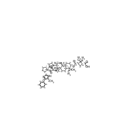 Cc1[nH]c([C@@H]2CCCN2C(=O)[C@]23CCC[C@@H]2[C@H]2CCC4[C@@]5(C)CC[C@H](OC(=O)[C@H]6C[C@@H](C(=O)O)C6(C)C)C(C)(C)C5CC[C@@]4(C)[C@]2(C)CC3)nc1-c1ccccc1